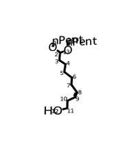 CCCCCOC(CCCCC/C=C\CCO)OCCCCC